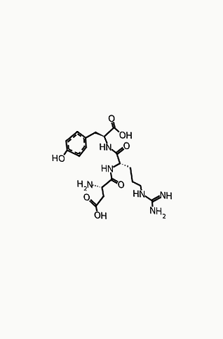 N=C(N)NCCC[C@H](NC(=O)[C@@H](N)CC(=O)O)C(=O)N[C@@H](Cc1ccc(O)cc1)C(=O)O